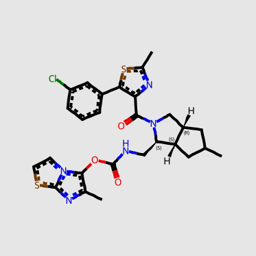 Cc1nc(C(=O)N2C[C@@H]3CC(C)C[C@@H]3[C@H]2CNC(=O)Oc2c(C)nc3sccn23)c(-c2cccc(Cl)c2)s1